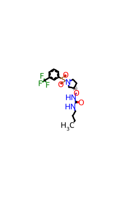 CCCCNC(=O)NO[C@H]1CCN(S(=O)(=O)c2cccc(C(F)(F)F)c2)C1